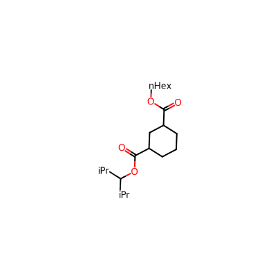 CCCCCCOC(=O)C1CCCC(C(=O)OC(C(C)C)C(C)C)C1